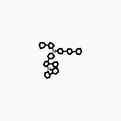 c1ccc(-c2ccc(-c3ccc(N(c4ccc(-c5cccc(-n6c7ccccc7c7ccccc76)c5-c5ccccc5)cc4)c4cccc(-c5ccccc5)c4)cc3)cc2)cc1